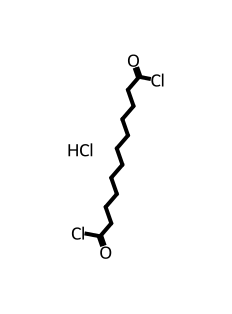 Cl.O=C(Cl)CCCCCCCCCCC(=O)Cl